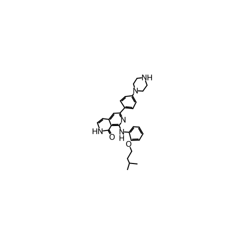 CC(C)CCOc1ccccc1Nc1nc(-c2ccc(N3CCNCC3)cc2)cc2cc[nH]c(=O)c12